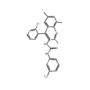 Cc1cc(C)c2nc(C)c(NC(=O)Nc3cccc(C(F)(F)F)c3)c(-c3ccccc3Cl)c2c1